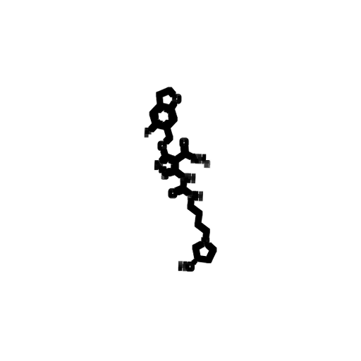 NC(=O)c1c(OCc2cc3c(cc2F)CCO3)nsc1NC(=O)NCCCCN1CC[C@H](O)C1